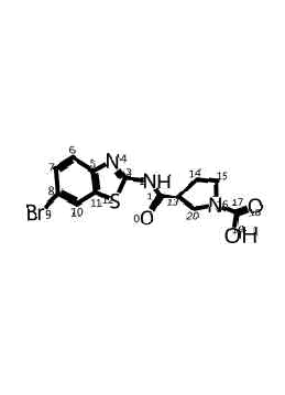 O=C(Nc1nc2ccc(Br)cc2s1)[C@H]1CCN(C(=O)O)C1